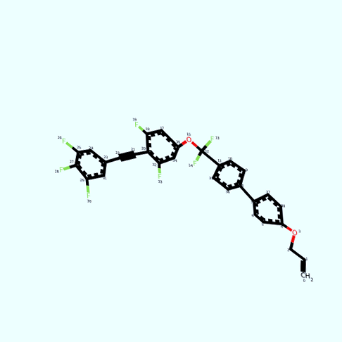 C=CCOc1ccc(-c2ccc(C(F)(F)Oc3cc(F)c(C#Cc4cc(F)c(F)c(F)c4)c(F)c3)cc2)cc1